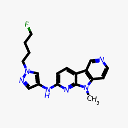 Cn1c2ccncc2c2ccc(Nc3cnn(CCCCF)c3)nc21